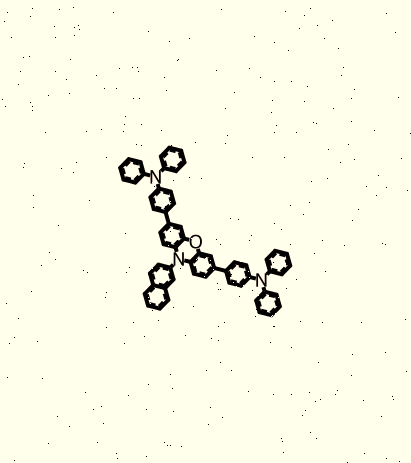 c1ccc(N(c2ccccc2)c2ccc(-c3ccc4c(c3)Oc3cc(-c5ccc(N(c6ccccc6)c6ccccc6)cc5)ccc3N4c3ccc4ccccc4c3)cc2)cc1